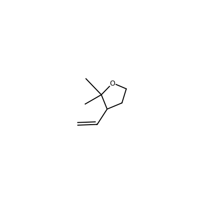 C=CC1CCOC1(C)C